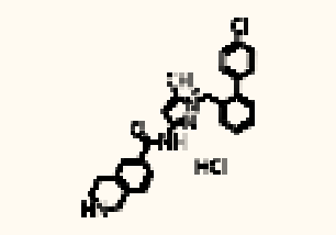 Cc1cc(NC(=O)c2ccc3c(c2)CCNC3)nn1Cc1ccccc1-c1ccc(Cl)cc1.Cl